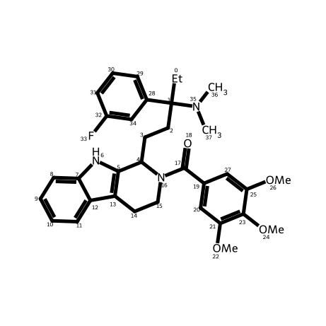 CCC(CCC1c2[nH]c3ccccc3c2CCN1C(=O)c1cc(OC)c(OC)c(OC)c1)(c1cccc(F)c1)N(C)C